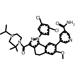 COc1cc2c(cc1-c1cncc(C(N)=O)c1)-c1c(c(C(=O)N3CCN(C(C)C)CC3(C)C)nn1-c1cc(Cl)cc(Cl)c1)CC2